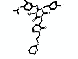 Cc1cc(/N=c2\n(N)c(=O)n(Cc3cccn(CCOC4CCCCO4)c3=O)c(=O)n2Cc2ccc(Cl)cc2)ccc1OC(C)C